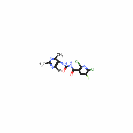 Cc1nc(C)c(NC(=O)NC(=O)c2cc(F)c(Cl)nc2Cl)c(C(C)C)n1